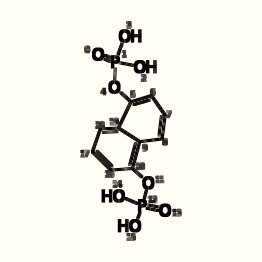 O=P(O)(O)Oc1cccc2c(OP(=O)(O)O)cccc12